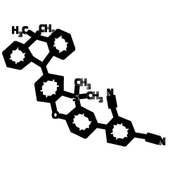 CC1(C)c2ccccc2C(c2ccc3c(c2)[Si](C)(C)c2cc(-c4ccc(C#N)cc4C#N)ccc2O3)c2ccccc21